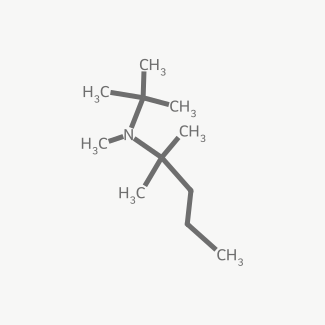 CCCC(C)(C)N(C)C(C)(C)C